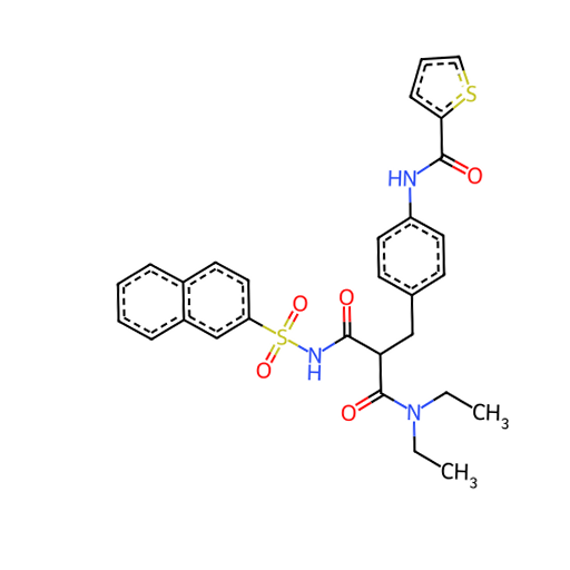 CCN(CC)C(=O)C(Cc1ccc(NC(=O)c2cccs2)cc1)C(=O)NS(=O)(=O)c1ccc2ccccc2c1